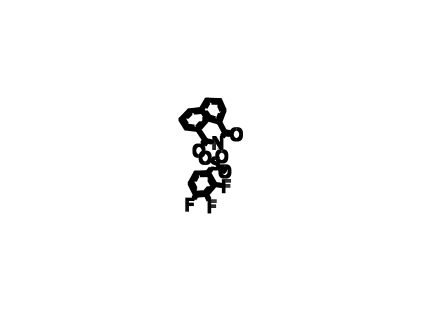 O=C1c2cccc3cccc(c23)C(=O)N1OS(=O)(=O)c1ccc(F)c(F)c1F